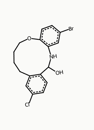 OC1Nc2cc(Br)ccc2OCCCCc2cc(Cl)ccc21